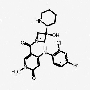 Cn1cc(C(=O)N2CC(O)([C@@H]3CCCCN3)C2)c(Nc2ccc(Br)cc2Cl)cc1=O